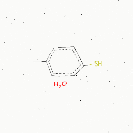 Cc1ccc(S)cc1.O